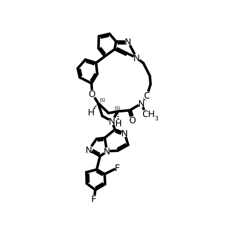 CN1CCCCn2cc3c(cccc3n2)-c2cccc(c2)O[C@H]2C[C@@H](C1=O)N(c1nccn3c(-c4ccc(F)cc4F)ncc13)C2